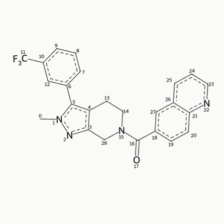 Cn1nc2c(c1-c1cccc(C(F)(F)F)c1)CCN(C(=O)c1ccc3ncccc3c1)C2